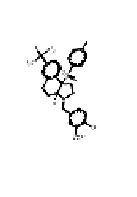 O=C(O)c1cc(CN2CC[C@@]3(S(=O)(=O)c4ccc(F)cc4)c4ccc(C(F)(C(F)(F)F)C(F)(F)F)cc4CC[C@@H]23)ccc1O